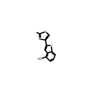 Cc1nc(-c2cc3c(O)cccc3o2)cs1